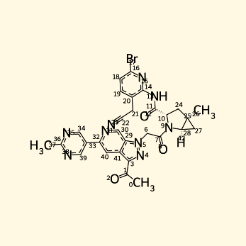 CC(=O)c1nn(CC(=O)N2[C@H](C(=O)Nc3nc(Br)ccc3CC#N)C[C@@]3(C)C[C@@H]23)c2cnc(-c3cnc(C)nc3)cc12